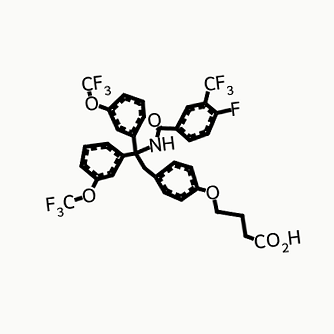 O=C(O)CCCOc1ccc(CC(NC(=O)c2ccc(F)c(C(F)(F)F)c2)(c2cccc(OC(F)(F)F)c2)c2cccc(OC(F)(F)F)c2)cc1